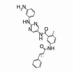 Cc1ccc(NC(=O)/C=C/c2ccccc2)cc1C(=O)Nc1cnc(Nc2cccc(N)c2)nc1